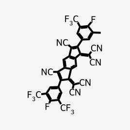 Cc1cc(C2=C(C#N)c3cc4c(cc3C2=C(C#N)C#N)C(=C(C#N)C#N)C(c2cc(C(F)(F)F)c(F)c(C(F)(F)F)c2)=C4C#N)cc(C(F)(F)F)c1F